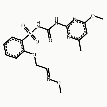 CON=CCOc1ccccc1S(=O)(=O)NC(=O)Nc1nc(C)cc(OC)n1